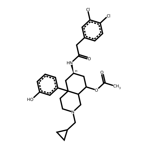 CC(=O)OC1C[C@H](NC(=O)Cc2ccc(Cl)c(Cl)c2)CC2(c3cccc(O)c3)CCN(CC3CC3)CC12